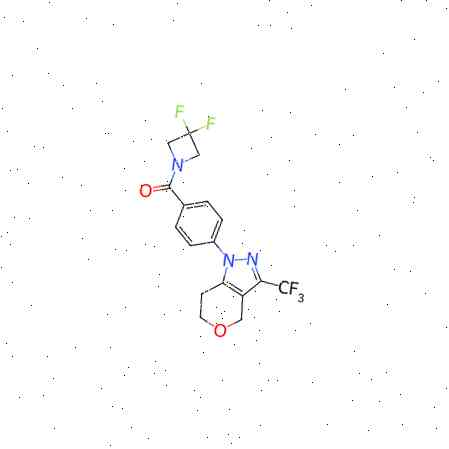 O=C(c1ccc(-n2nc(C(F)(F)F)c3c2CCOC3)cc1)N1CC(F)(F)C1